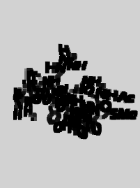 CSCC[C@@H](NC(=O)[C@H](CO)NC(C)=O)C(=O)N[C@H](C(=O)N[C@@H](CC(=O)O)C(=O)N[C@@H](CCCCN)C(=O)N[C@@H](Cc1ccc(O)cc1)C(=O)N[C@@H](CCCNC(=N)N)C(=O)N[C@@H](CC(C)C)C(=O)N[C@@H](Cc1c[nH]cn1)C(N)=O)[C@@H](C)O